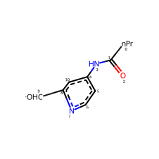 CCCC(=O)Nc1ccnc([C]=O)c1